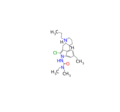 CCCN1CCC[C@@H]2c3cc(CC)cc4c3c(c(Cl)n4NC(=O)N(CC)CC)C[C@H]21